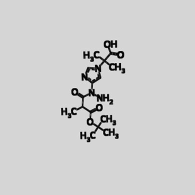 CC(C(=O)OC(C)(C)C)C(=O)N(N)c1cn(C(C)(C)C(=O)O)cn1